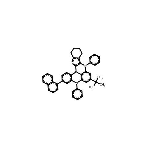 CC(C)(C)c1cc2c3c(c1)N(c1ccccc1)c1c(sc4c1CCCC4)B3c1ccc(-c3cccc4ccccc34)cc1N2c1ccccc1